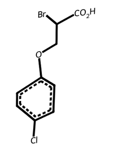 O=C(O)C(Br)COc1ccc(Cl)cc1